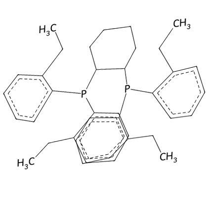 CCc1ccccc1P(c1ccccc1CC)C1CCCCC1P(c1ccccc1CC)c1ccccc1CC